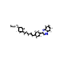 COc1ccc(C=CCC=Cc2ccc(-c3cnc4ccccc4n3)cc2)cc1